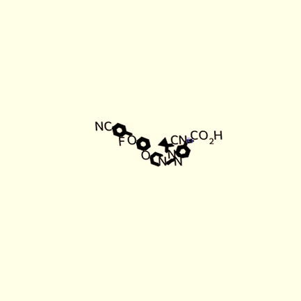 N#CCC1(Cn2c(CN3CCC(Oc4cccc(OCc5ccc(C#N)cc5F)c4)CC3)nc3ccc(/C=C/C(=O)O)cc32)CC1